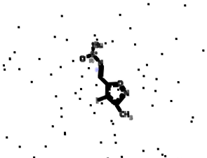 Cc1noc(/C=N/[S@@+]([O-])C(C)(C)C)c1I